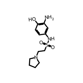 Nc1cc(NS(=O)(=O)CCN2CCCC2)ccc1O